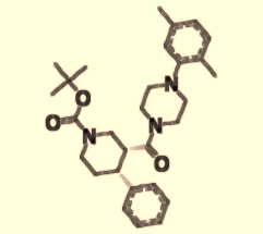 Cc1ccc(C)c(N2CCN(C(=O)[C@H]3CN(C(=O)OC(C)(C)C)CC[C@H]3c3ccccc3)CC2)c1